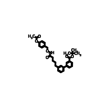 CC(=O)Oc1ccc(CONC(=O)CCCCc2cccc(-c3cccc(C(=O)OC(C)(C)C)c3)c2)cc1